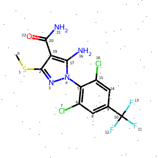 CSc1nn(-c2c(Cl)cc(C(F)(F)F)cc2Cl)c(N)c1C(N)=O